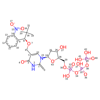 C=C1NC(=O)C(CO[C@@H](c2ccccc2[N+](=O)[O-])C(C)(C)C)=CN1[C@H]1CC(O)[C@@H](COP(=O)(O)OP(=O)(O)OP(=O)(O)O)O1